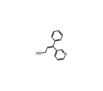 OCC=C(c1ccccc1)c1cccnc1